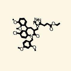 CCOC(=O)CCc1nnnn1CC1CC(c2cccc(OC)c2OC)c2cc(Cl)ccc2N(Cc2ccc(OC)cc2OC)C1=O